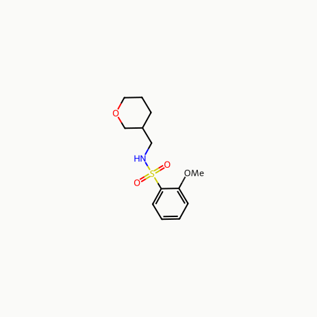 COc1ccccc1S(=O)(=O)NCC1CCCOC1